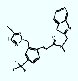 Cc1nnn(Cc2cc(C(F)(F)F)ccc2C=CC(=O)N(C)Cc2nc3ccccc3s2)n1